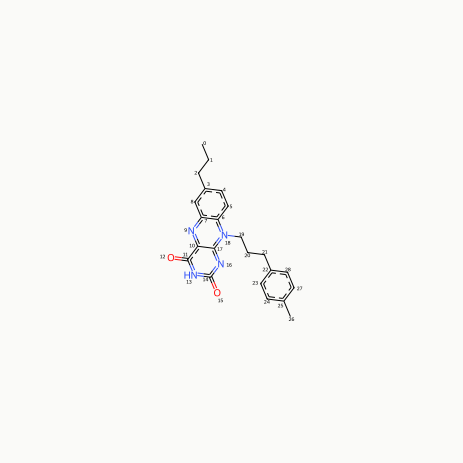 CCCc1ccc2c(c1)nc1c(=O)[nH]c(=O)nc-1n2CCCc1ccc(C)cc1